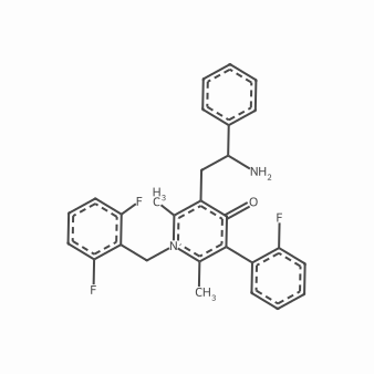 Cc1c(CC(N)c2ccccc2)c(=O)c(-c2ccccc2F)c(C)n1Cc1c(F)cccc1F